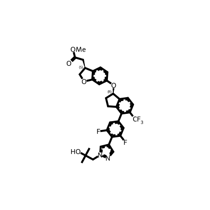 COC(=O)C[C@@H]1COc2cc(O[C@@H]3CCc4c3ccc(C(F)(F)F)c4-c3cc(F)c(-c4cnn(CC(C)(C)O)c4)c(F)c3)ccc21